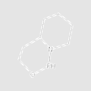 C1CCN2POCCC2C1